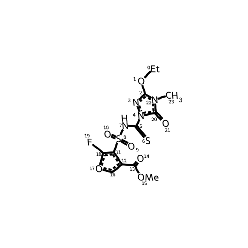 CCOc1nn(C(=S)NS(=O)(=O)c2c(C(=O)OC)coc2F)c(=O)n1C